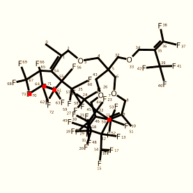 CC(COCC(COCC(C)=C(C(F)(C(F)(F)F)C(F)(F)F)C(F)(C(F)(F)F)C(F)(F)F)(COCC(=C(F)F)C(F)(F)F)COCC(=C(F)F)C(F)(F)F)=C(C(F)(C(F)(F)F)C(F)(F)F)C(F)(C(F)(F)F)C(F)(F)F